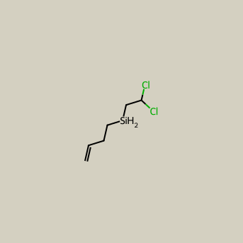 C=CCC[SiH2]CC(Cl)Cl